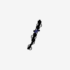 C=CC(=O)OCCCCOc1ccc(C(=O)Oc2ccc(/C(CC)=N/N=C(\CC)c3ccc(OC(=O)c4ccc(C)cc4)cc3)cc2)cc1